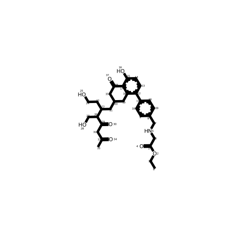 CCOC(=O)CNCc1ccc(-c2ccc(O)c3c2CC(CC(CCO)C(CO)C(=O)CC(C)=O)CC3=O)cc1